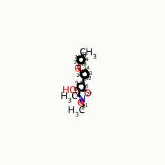 CCON=C(C)C1=C(O)CC(c2cccc(Oc3ccc(C)cc3)c2)CC1=O